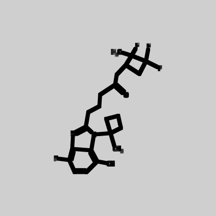 CC1(n2c(CCCC(=O)CC3CC(F)(F)C3(C)F)nc3c(F)ccc(C#N)c32)CCC1